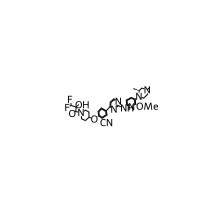 COc1nc(Nc2nccc(-c3ccc(OC4CCN(C(=O)[C@H](O)C(F)F)CC4)c(C#N)c3)n2)ccc1N1CCN(C)C[C@@H]1C